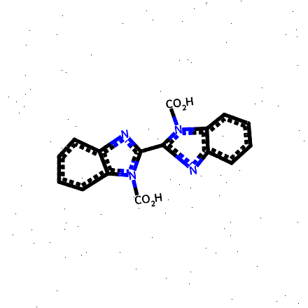 O=C(O)n1c(-c2nc3ccccc3n2C(=O)O)nc2ccccc21